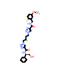 O=C(NCc1cc(OC(F)(F)F)ccc1F)c1cn(CCC(F)Cn2cc(C(=O)N[C@@H](CO)c3ccccc3)nn2)nn1